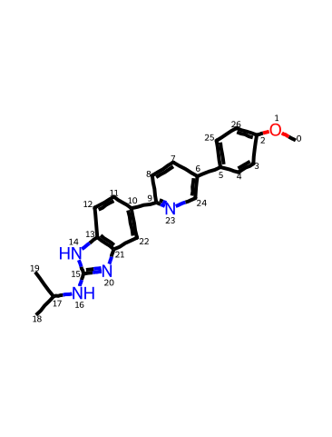 COc1ccc(-c2ccc(-c3ccc4[nH]c(NC(C)C)nc4c3)nc2)cc1